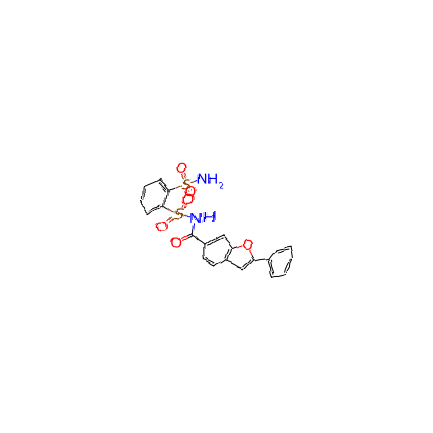 NS(=O)(=O)c1ccccc1S(=O)(=O)NC(=O)c1ccc2cc(-c3ccccc3)oc2c1